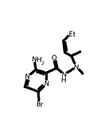 CC/C=C\C(C)N(C)NC(=O)c1nc(Br)cnc1N